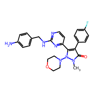 Cn1c(=O)c(-c2ccc(F)cc2)c(-c2ccnc(NCc3ccc(N)cc3)n2)n1N1CCOCC1